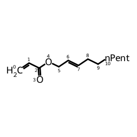 C=CC(=O)OC/C=C/CCCCCCC